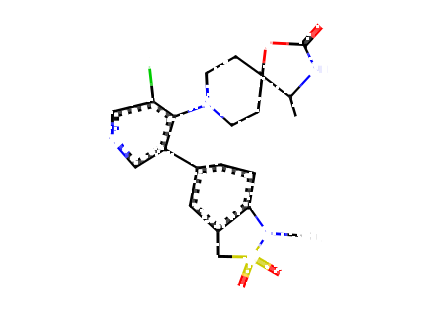 CC1NC(=O)OC12CCN(c1c(Cl)cncc1-c1ccc3c(c1)CS(=O)(=O)N3C)CC2